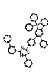 c1ccc(-c2cccc(-c3nc(-c4ccccc4)nc(-c4ccc(-c5cc6c(cc5-c5ccccc5)-c5ccccc5C6(c5ccccc5)c5ccccc5)cc4)n3)c2)cc1